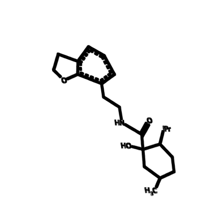 CC1CCC(C(C)C)C(O)(C(=O)NCCc2cccc3c2OCC3)C1